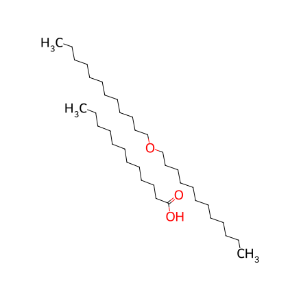 CCCCCCCCCCCC(=O)O.CCCCCCCCCCCCOCCCCCCCCCCCC